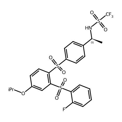 CC(C)Oc1ccc(S(=O)(=O)c2ccc([C@H](C)NS(=O)(=O)C(F)(F)F)cc2)c(S(=O)(=O)c2ccccc2F)c1